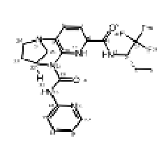 CC[C@H](NC(=O)C1C=CC2=C(N1)N(C(=O)Nc1ccccn1)[C@H]1CCN2C1)C(F)(F)F